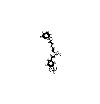 CCN(CCCCCOc1ccccc1)CCc1ccc2c(c1)OCO2